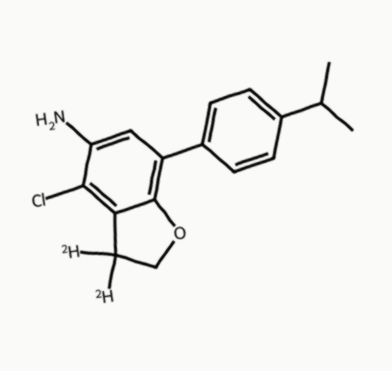 [2H]C1([2H])COc2c(-c3ccc(C(C)C)cc3)cc(N)c(Cl)c21